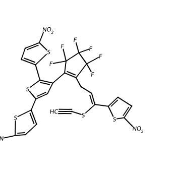 C#CS/C(=C\CC1=C(c2cc(-c3ccc([N+](=O)[O-])s3)sc2-c2ccc([N+](=O)[O-])s2)C(F)(F)C(F)(F)C1(F)F)c1ccc([N+](=O)[O-])s1